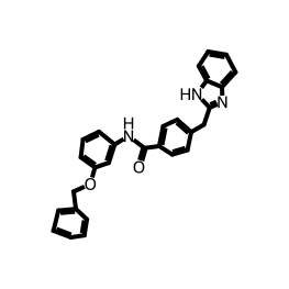 O=C(Nc1cccc(OCc2ccccc2)c1)c1ccc(Cc2nc3ccccc3[nH]2)cc1